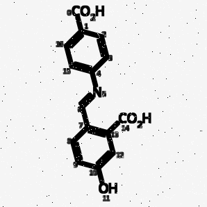 O=C(O)c1ccc(/N=C/c2ccc(O)cc2C(=O)O)cc1